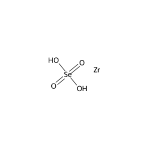 O=[Se](=O)(O)O.[Zr]